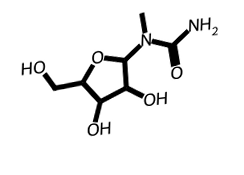 CN(C(N)=O)C1OC(CO)C(O)C1O